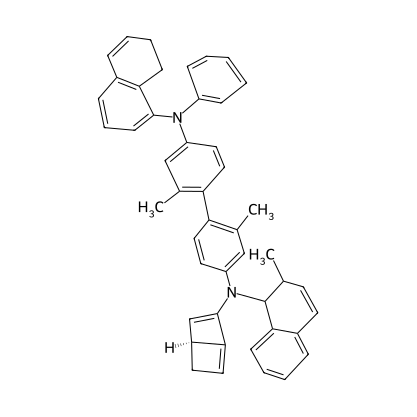 Cc1cc(N(c2ccccc2)c2cccc3c2CCC=C3)ccc1-c1ccc(N(C2=C[C@@H]3CC=C23)C2c3ccccc3C=CC2C)cc1C